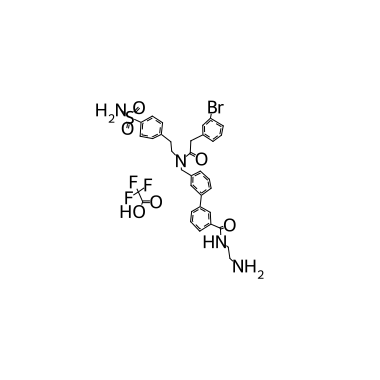 NCCNC(=O)c1cccc(-c2cccc(CN(CCc3ccc(S(N)(=O)=O)cc3)C(=O)Cc3cccc(Br)c3)c2)c1.O=C(O)C(F)(F)F